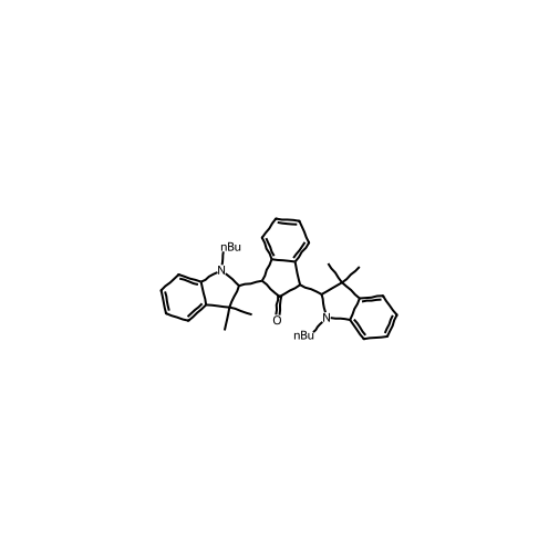 CCCCN1c2ccccc2C(C)(C)C1C1C(=O)C(C2N(CCCC)c3ccccc3C2(C)C)c2ccccc21